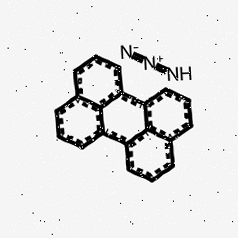 [N-]=[N+]=N.c1cc2cccc3c4cccc5cccc(c(c1)c23)c54